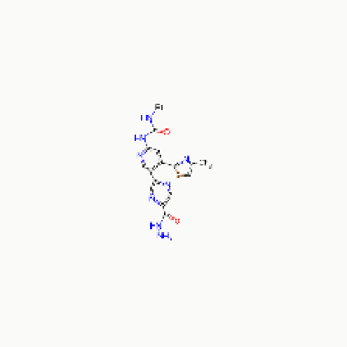 CCNC(=O)Nc1cc(-c2nc(C(F)(F)F)cs2)c(-c2cnc(C(=O)NN)cn2)cn1